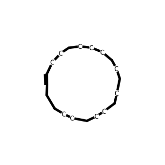 C1=CCCCCCCCCCCCCCCCCCC1